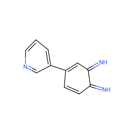 N=C1C=CC(c2cccnc2)=CC1=N